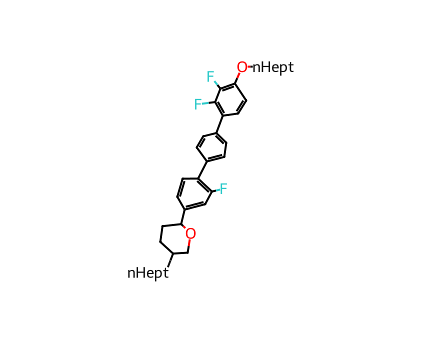 CCCCCCCOc1ccc(-c2ccc(-c3ccc(C4CCC(CCCCCCC)CO4)cc3F)cc2)c(F)c1F